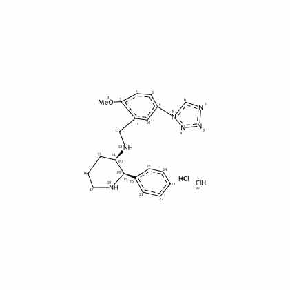 COc1ccc(-n2cnnn2)cc1CN[C@@H]1CCCN[C@@H]1c1ccccc1.Cl.Cl